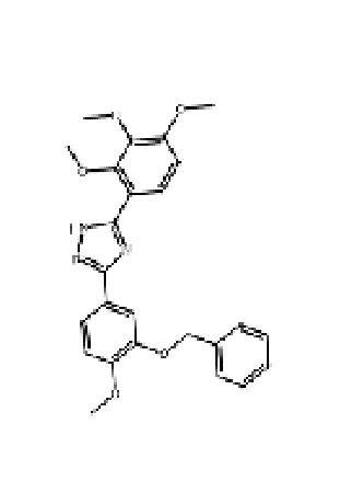 COc1ccc(-c2n[nH]c(-c3ccc(OC)c(OC)c3OC)n2)cc1OCc1ccccc1